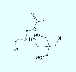 CC(=O)OSSSS.OCC(CO)(CO)CO